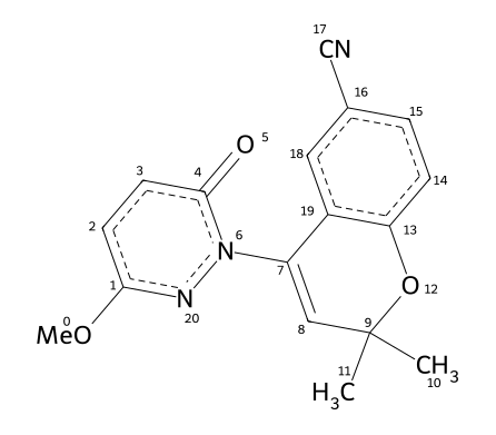 COc1ccc(=O)n(C2=CC(C)(C)Oc3ccc(C#N)cc32)n1